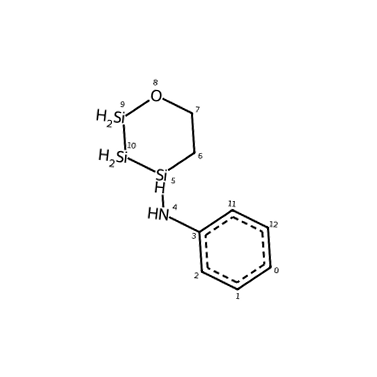 c1ccc(N[SiH]2CCO[SiH2][SiH2]2)cc1